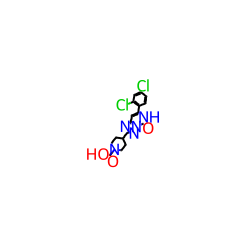 O=C(O)N1CCC(c2nc3cc(-c4ccc(Cl)cc4Cl)[nH]c(=O)n3n2)CC1